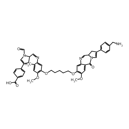 COc1cc2c(cc1OCCCCCOc1cc(/N=C\C3CC(c4ccc(C(=O)O)cc4)=CN3C=O)c(C)cc1OC)N=CC1CC(c3ccc(CN)cc3)=CN1C2=O